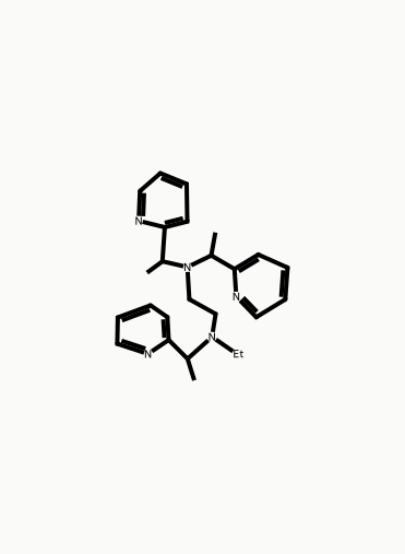 CCN(CCN(C(C)c1ccccn1)C(C)c1ccccn1)C(C)c1ccccn1